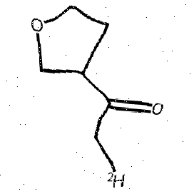 [2H]CC(=O)C1CCOC1